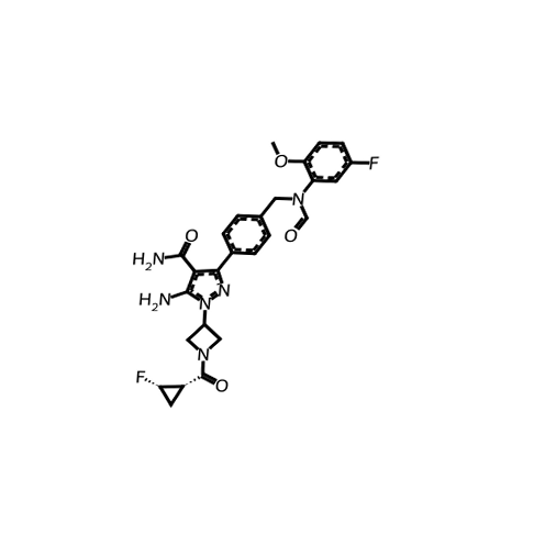 COc1ccc(F)cc1N(C=O)Cc1ccc(-c2nn(C3CN(C(=O)[C@@H]4C[C@@H]4F)C3)c(N)c2C(N)=O)cc1